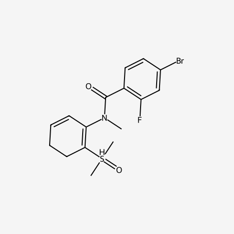 CN(C(=O)c1ccc(Br)cc1F)C1=C([SH](C)(C)=O)CCC=C1